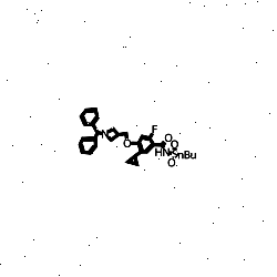 CCCCS(=O)(=O)NC(=O)c1cc(C2CC2)c(OCC2CN(C(c3ccccc3)c3ccccc3)C2)cc1F